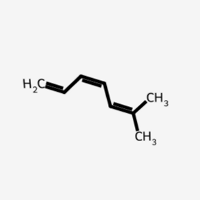 C=C/C=C\C=C(C)C